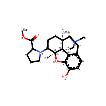 CO[C@@]12CCC(N3CCCC3C(=O)OC(C)(C)C)[C@@H]3Oc4c(O)ccc5c4[C@@]31CCN(C)C2C5